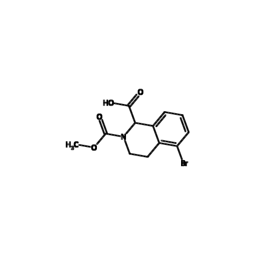 COC(=O)N1CCc2c(Br)cccc2C1C(=O)O